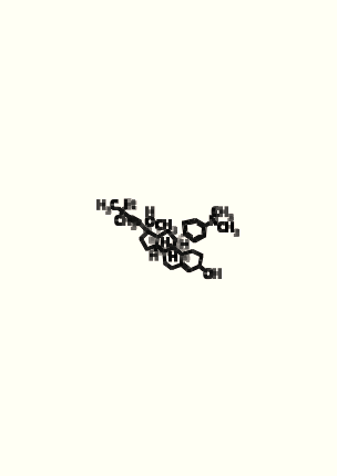 CCC(C)(C)C#C[C@]1(O)CC[C@H]2[C@@H]3CCC4=CC(O)CC[C@@H]4[C@H]3[C@@H](c3ccc(N(C)C)cc3)C[C@@]21C